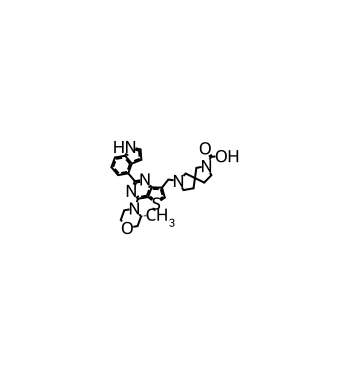 C[C@@H]1COCCN1c1nc(-c2cccc3[nH]ccc23)nc2c(CN3CCC4(CCN(C(=O)O)C4)C3)csc12